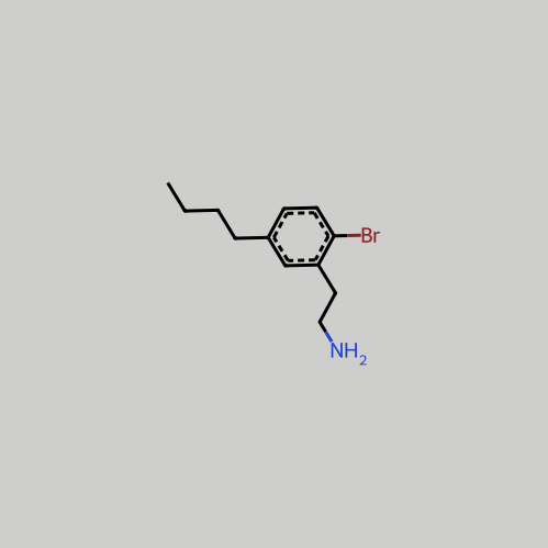 CCCCc1ccc(Br)c(CCN)c1